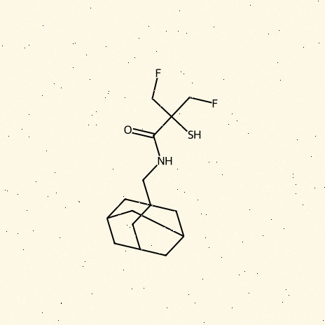 O=C(NCC12CC3CC(CC(C3)C1)C2)C(S)(CF)CF